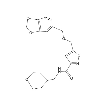 O=C(NCC1CCOCC1)c1cc(COCc2ccc3c(c2)OCO3)on1